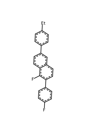 CCc1ccc(-c2ccc3c(F)c(-c4ccc(F)cc4)ccc3c2)cc1